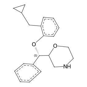 c1ccc([C@H](Oc2ccccc2CC2CC2)C2CNCCO2)cc1